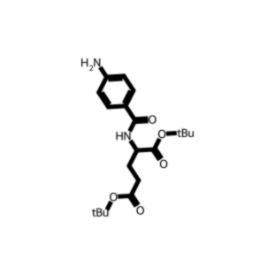 CC(C)(C)OC(=O)CCC(NC(=O)c1ccc(N)cc1)C(=O)OC(C)(C)C